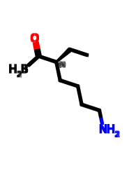 BC(=O)[C@@H](CC)CCCCN